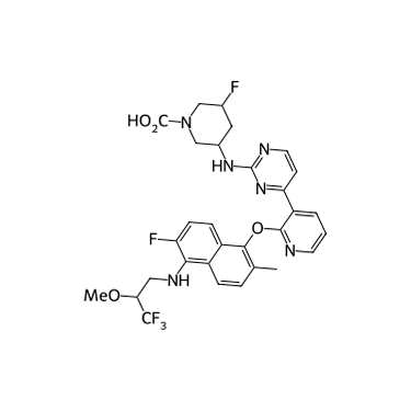 COC(CNc1c(F)ccc2c(Oc3ncccc3-c3ccnc(NC4CC(F)CN(C(=O)O)C4)n3)c(C)ccc12)C(F)(F)F